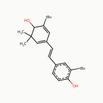 CC(C)(C)C1=CC(C=Cc2ccc(O)c(C(C)(C)C)c2)=CC(C)(C)C1O